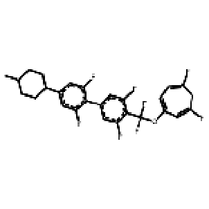 CC1CCC(c2cc(F)c(-c3cc(F)c(C(F)(F)OC4=CC=C(F)CC(F)=C4)c(F)c3)c(F)c2)CC1